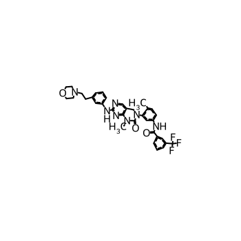 Cc1ccc(NC(=O)c2cccc(C(F)(F)F)c2)cc1N1Cc2cnc(Nc3cccc(CCN4CCOCC4)c3)nc2N(C)C1=O